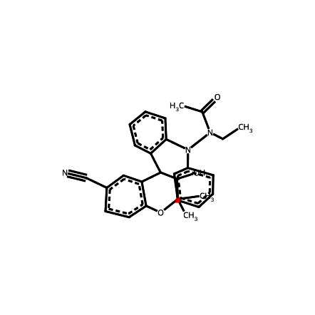 CCN(C(C)=O)N(c1ccccc1)c1ccccc1C1c2cc(C#N)ccc2OC(C)(C)C1O